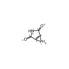 O=C1NC(=O)C2=C1[PH3]2